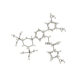 Cc1cc(-c2ccc(N3C[C@H](C(F)(F)F)C[C@H](C(F)(F)F)C3)cc2CNC(=O)c2cc(C)on2)cc(C)n1